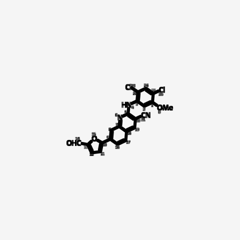 COc1cc(Nc2nc3cc(-c4ccc(C=O)o4)ccc3cc2C#N)c(Cl)cc1Cl